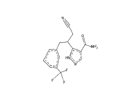 N#CCC(Cc1cccc(C(F)(F)F)c1)c1[nH]ncc1C(N)=O